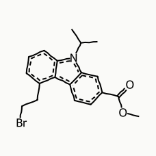 COC(=O)c1ccc2c3c(CCBr)cccc3n(C(C)C)c2c1